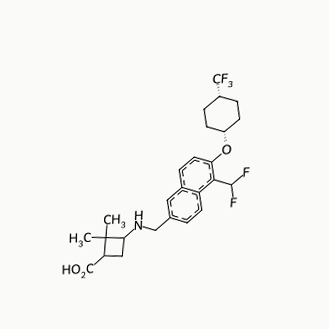 CC1(C)C(NCc2ccc3c(C(F)F)c(O[C@H]4CC[C@@H](C(F)(F)F)CC4)ccc3c2)CC1C(=O)O